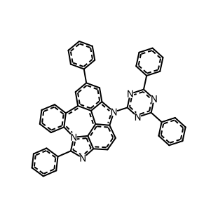 c1ccc(-c2cc3c4ccccc4n4c(-c5ccccc5)nc5ccc6c(c3c(c2)n6-c2nc(-c3ccccc3)nc(-c3ccccc3)n2)c54)cc1